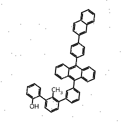 Cc1c(-c2cccc(-c3c4ccccc4c(-c4ccc(-c5ccc6ccccc6c5)cc4)c4ccccc34)c2)cccc1-c1ccccc1O